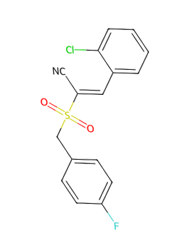 N#C/C(=C\c1ccccc1Cl)S(=O)(=O)Cc1ccc(F)cc1